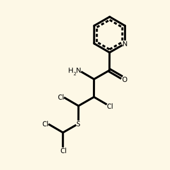 NC(C(=O)c1ccccn1)C(Cl)C(Cl)SC(Cl)Cl